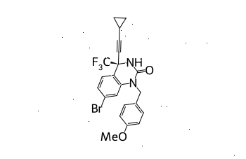 COc1ccc(CN2C(=O)N[C@](C#CC3CC3)(C(F)(F)F)c3ccc(Br)cc32)cc1